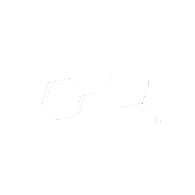 [O-][S+](CC(Br)I)c1ccccc1